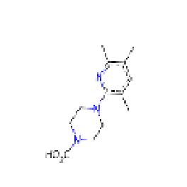 Cc1cc(C)c(N2CCN(C(=O)O)CC2)nc1C